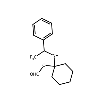 O=COC1(NC(c2ccccc2)C(F)(F)F)CCCCC1